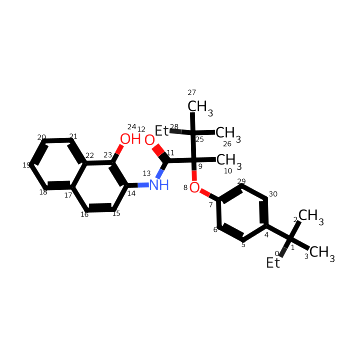 CCC(C)(C)c1ccc(OC(C)(C(=O)Nc2ccc3ccccc3c2O)C(C)(C)CC)cc1